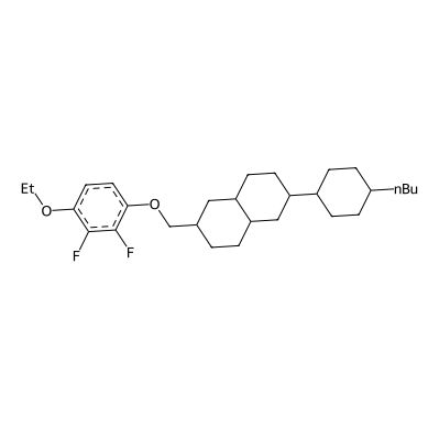 CCCCC1CCC(C2CCC3CC(COc4ccc(OCC)c(F)c4F)CCC3C2)CC1